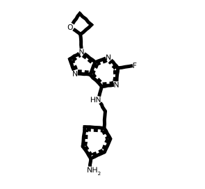 Nc1ccc(CNc2nc(F)nc3c2ncn3C2CCO2)cc1